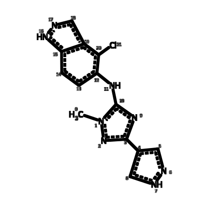 Cn1nc(-c2cn[nH]c2)nc1Nc1ccc2[nH]ncc2c1Cl